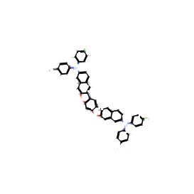 CC(C)(C)c1ccc(N(c2ccc(F)cc2)c2ccc3cc4c(cc3c2)oc2cc3oc5cc6cc(N(c7ccc(F)cc7)c7ccc(C(C)(C)C)cc7)ccc6cc5c3cc24)cc1